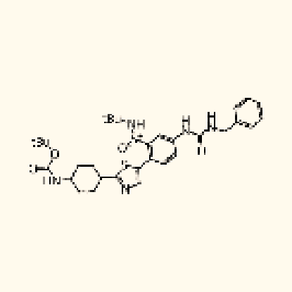 CC(C)(C)N[S+]([O-])c1cc(NC(=O)NCc2ccccc2)ccc1-c1cnc(C2CCC(NC(=O)OC(C)(C)C)CC2)s1